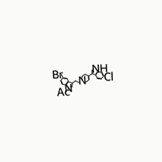 CC(=O)N1CC(CCN2CC=C(c3c[nH]c4cc(Cl)ccc34)CC2)c2cc(Br)ccc21